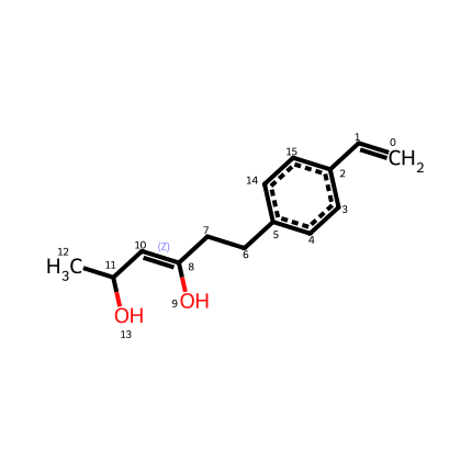 C=Cc1ccc(CC/C(O)=C/C(C)O)cc1